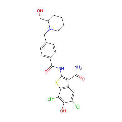 NC(=O)c1c(NC(=O)c2ccc(CN3CCCCC3CO)cc2)sc2c(Cl)c(O)c(Cl)cc12